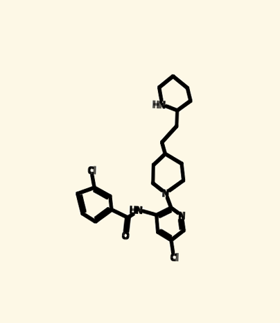 O=C(Nc1cc(Cl)cnc1N1CCC(CCC2CCCCN2)CC1)c1cccc(Cl)c1